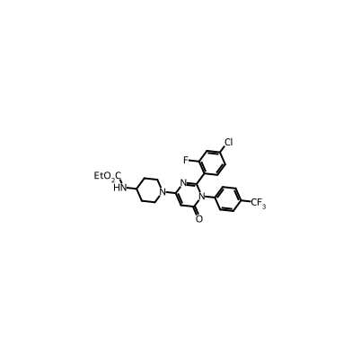 CCOC(=O)NC1CCN(c2cc(=O)n(-c3ccc(C(F)(F)F)cc3)c(-c3ccc(Cl)cc3F)n2)CC1